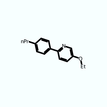 CCCc1ccc(-c2ccc(OCC)cn2)cc1